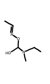 CC=NOC(O)N(C)CC